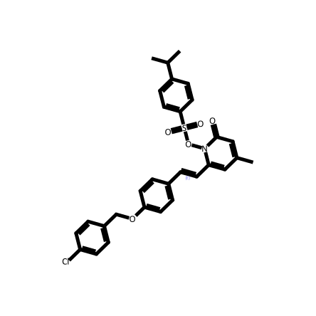 Cc1cc(/C=C/c2ccc(OCc3ccc(Cl)cc3)cc2)n(OS(=O)(=O)c2ccc(C(C)C)cc2)c(=O)c1